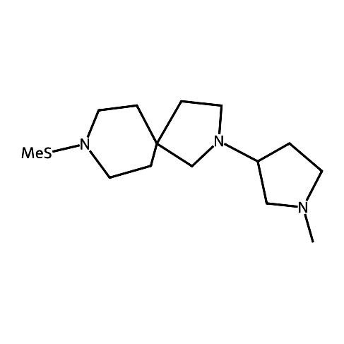 CSN1CCC2(CC1)CCN(C1CCN(C)C1)C2